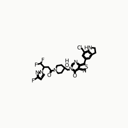 O=C(CC(C(F)F)n1ccc(F)n1)N1CCC(O)(Cn2cnc3c(-c4cc(Cl)c5c(c4)CCN5)snc3c2=O)CC1